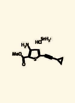 COC(=O)c1sc(C#CC2CC2)cc1N.Cl.[SnH2]